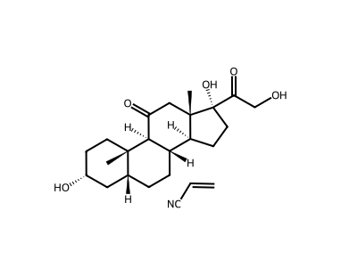 C=CC#N.C[C@]12CC[C@@H](O)C[C@H]1CC[C@@H]1[C@@H]2C(=O)C[C@@]2(C)[C@H]1CC[C@]2(O)C(=O)CO